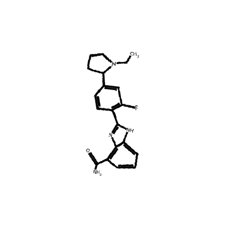 CCN1CCCC1c1ccc(-c2nc3c(C(N)=O)cccc3[nH]2)c(F)c1